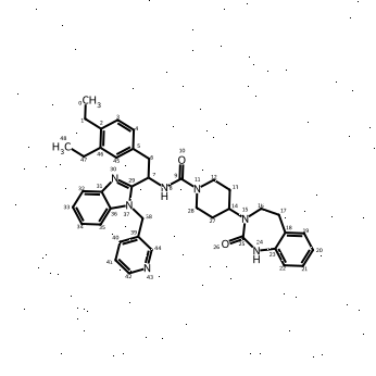 CCc1ccc(CC(NC(=O)N2CCC(N3CCc4ccccc4NC3=O)CC2)c2nc3ccccc3n2Cc2cccnc2)cc1CC